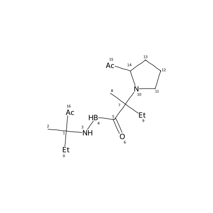 CCC(C)(NBC(=O)C(C)(CC)N1CCCC1C(C)=O)C(C)=O